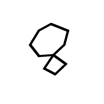 C1CCCC2(CC1)CCC2